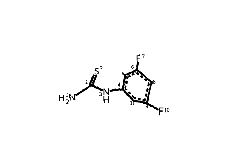 NC(=S)Nc1cc(F)cc(F)c1